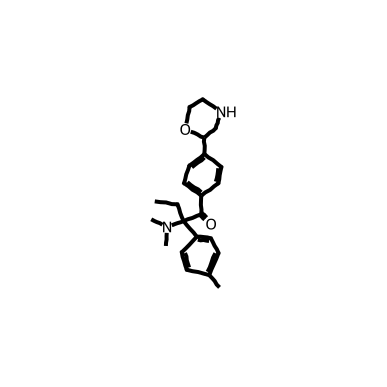 CCC(C(=O)c1ccc(C2CNCCO2)cc1)(c1ccc(C)cc1)N(C)C